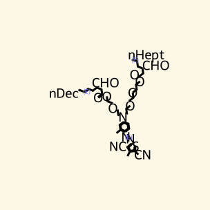 CCCCCCC/C=C/CC(C=O)CC(=O)OCCOCCOCCN(CCOCCOC(=O)CC(C=O)C/C=C/CCCCCCCCCCC)c1ccc(/N=N/c2sc(C#N)c(C)c2C#N)c(C)c1